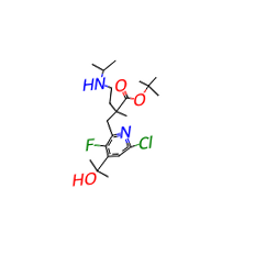 CC(C)NCCC(C)(Cc1nc(Cl)cc(C(C)(C)O)c1F)C(=O)OC(C)(C)C